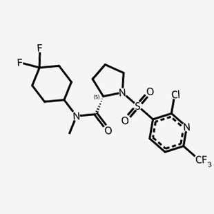 CN(C(=O)[C@@H]1CCCN1S(=O)(=O)c1ccc(C(F)(F)F)nc1Cl)C1CCC(F)(F)CC1